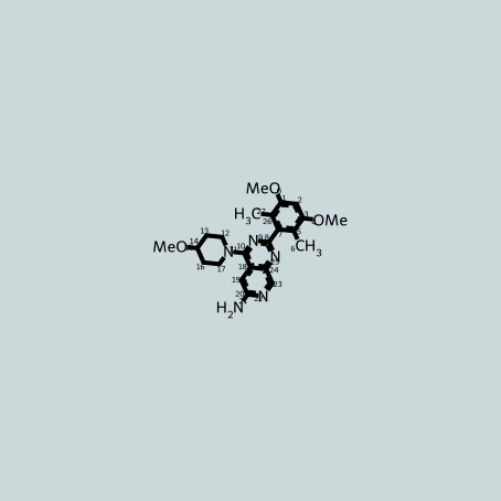 COc1cc(OC)c(C)c(-c2nc(N3CCC(OC)CC3)c3cc(N)ncc3n2)c1C